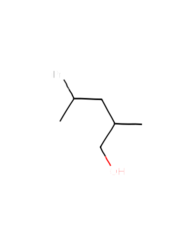 CC(CO)CC(C)C(C)C